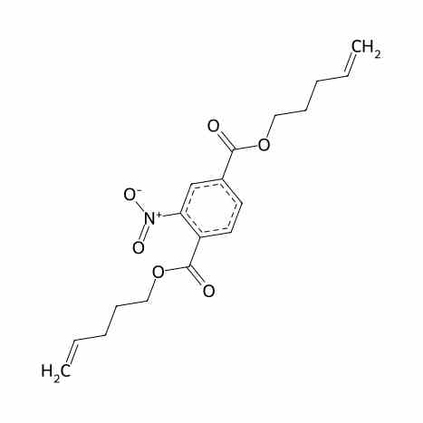 C=CCCCOC(=O)c1ccc(C(=O)OCCCC=C)c([N+](=O)[O-])c1